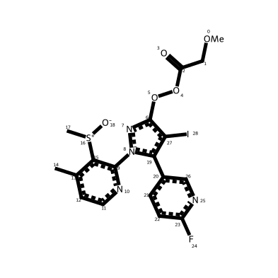 COCC(=O)OOc1nn(-c2nccc(C)c2[S+](C)[O-])c(-c2ccc(F)nc2)c1I